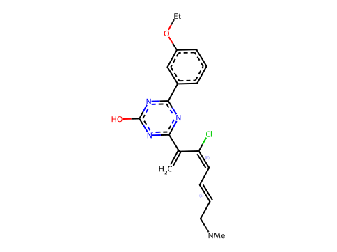 C=C(/C(Cl)=C\C=C\CNC)c1nc(O)nc(-c2cccc(OCC)c2)n1